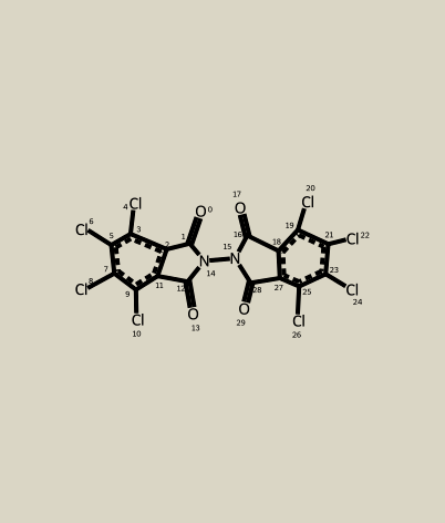 O=C1c2c(Cl)c(Cl)c(Cl)c(Cl)c2C(=O)N1N1C(=O)c2c(Cl)c(Cl)c(Cl)c(Cl)c2C1=O